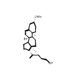 CO[C@@H]1CC[C@]2(C)C(=CC[C@H]3C2CC[C@]2(C)C3CC[C@H]2C(C)CCCC(C)C)C1